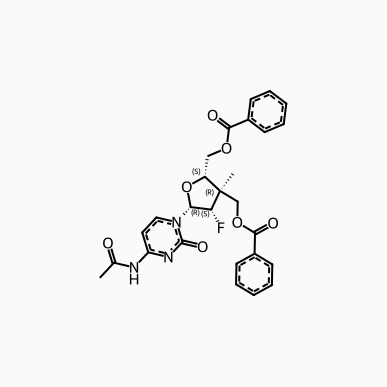 CC(=O)Nc1ccn([C@@H]2O[C@H](COC(=O)c3ccccc3)[C@@](C)(COC(=O)c3ccccc3)[C@@H]2F)c(=O)n1